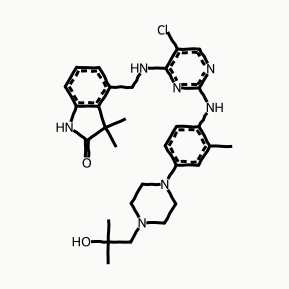 Cc1cc(N2CCN(CC(C)(C)O)CC2)ccc1Nc1ncc(Cl)c(NCc2cccc3c2C(C)(C)C(=O)N3)n1